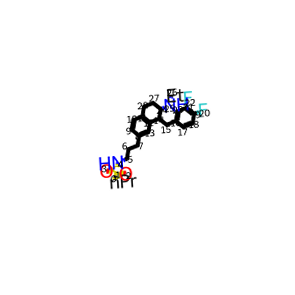 CCCS(=O)(=O)NCCCc1ccc2c(c1)C(Cc1ccc(F)c(F)c1)C(NCC)CC2